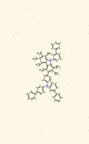 Bc1c(B)c(B)c2c(c1B)c1c(B)c(-c3ccc4c(c3)c3ccc(-c5ccccc5)cc3n4-c3ccc(-c4ccccc4)cc3)c(B)c(B)c1n2-c1cccc(-c2ccccc2)c1